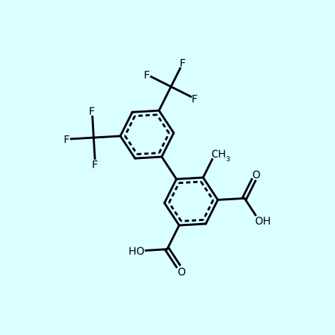 Cc1c(C(=O)O)cc(C(=O)O)cc1-c1cc(C(F)(F)F)cc(C(F)(F)F)c1